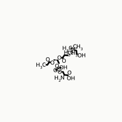 CCCC(=O)O[C@H](COC(=O)CC)COP(=O)(O)OC[C@H](N)C(=O)O.C[N+](C)(C)CCO